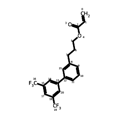 C=CC(=O)OCCCc1cccc(-c2cc(C(F)(F)F)cc(C(F)(F)F)c2)c1